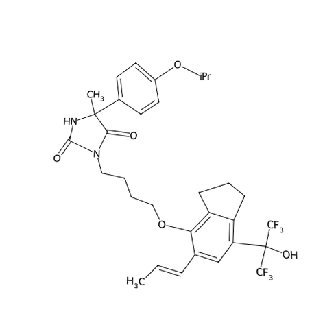 CC=Cc1cc(C(O)(C(F)(F)F)C(F)(F)F)c2c(c1OCCCCN1C(=O)NC(C)(c3ccc(OC(C)C)cc3)C1=O)CCC2